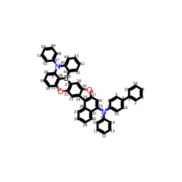 c1ccc(-c2ccc(N(c3ccccc3)c3cc4oc5cc6c(cc5c4c4ccccc34)Oc3cccc4c3B6c3ccccc3N4c3ccccc3)cc2)cc1